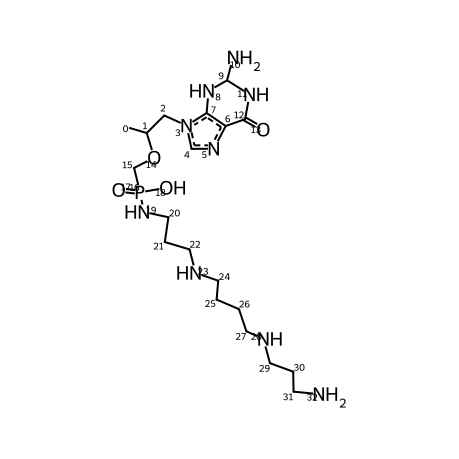 CC(Cn1cnc2c1NC(N)NC2=O)OCP(=O)(O)NCCCNCCCCNCCCN